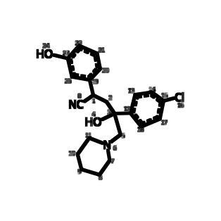 N#CC(CC(O)(CN1CCCCC1)c1ccc(Cl)cc1)c1cccc(O)c1